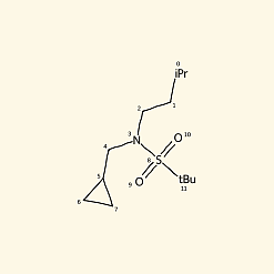 CC(C)CCN(CC1CC1)S(=O)(=O)C(C)(C)C